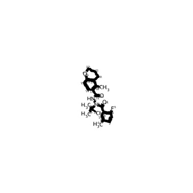 Cc1ccc(F)c(C(=O)N(NC(=O)c2ccc3c(c2C)CCCO3)C(C)(C)C)c1